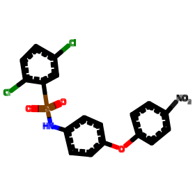 O=[N+]([O-])c1ccc(Oc2ccc(NS(=O)(=O)c3cc(Cl)ccc3Cl)cc2)cc1